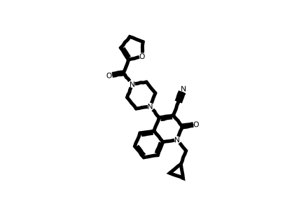 N#Cc1c(N2CCN(C(=O)C3=CCCO3)CC2)c2ccccc2n(CC2CC2)c1=O